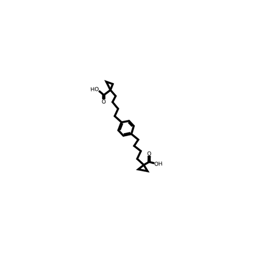 O=C(O)C1(CCCCc2ccc(CCCCC3(C(=O)O)CC3)cc2)CC1